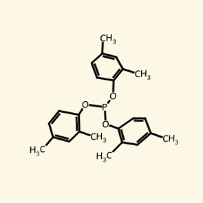 Cc1ccc(OP(Oc2ccc(C)cc2C)Oc2ccc(C)cc2C)c(C)c1